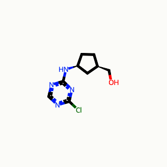 OC[C@@H]1CC[C@H](Nc2ncnc(Cl)n2)C1